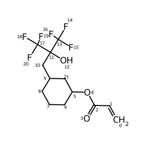 C=CC(=O)OC1CCCC(CC(O)(C(F)(F)F)C(F)(F)F)C1